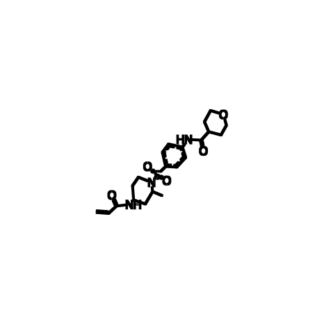 C=CC(=O)NC1CCN(S(=O)(=O)c2ccc(NC(=O)C3CCOCC3)cc2)C(C)C1